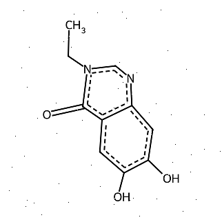 CCn1cnc2cc(O)c(O)cc2c1=O